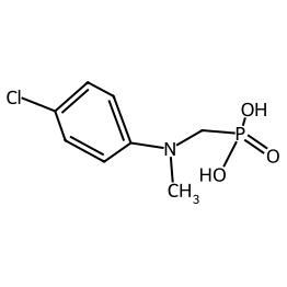 CN(CP(=O)(O)O)c1ccc(Cl)cc1